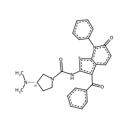 CN(C)[C@H]1CCN(C(=O)Nc2sc3c(ccc(=O)n3-c3ccccc3)c2C(=O)c2ccccc2)C1